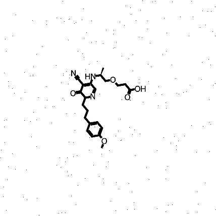 COc1ccc(CCCC2N=CC(N[C@@H](C)COCCC(=O)O)=C(C#N)C2=O)cc1